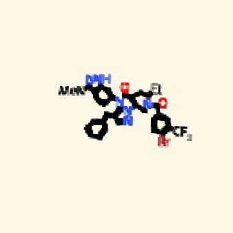 CCC1Cc2c(n3ncc(Cc4ccccc4)c3n(-c3ccc4c(NC)n[nH]c4c3)c2=O)CN1C(=O)c1ccc(Br)c(C(F)(F)F)c1